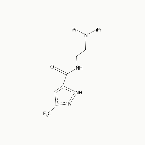 CC(C)N(CCNC(=O)c1cc(C(F)(F)F)n[nH]1)C(C)C